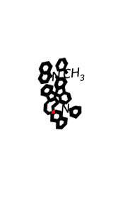 CC1C=CC=CC1N(c1ccc2c(c1)C1(C3=C(/C=C\CC/C=C/3)c3ccccc31)C1C=C(N(c3ccccc3)c3cccc4ccccc34)C=CC21)c1cccc2ccccc12